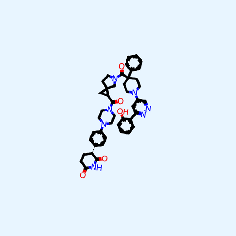 O=C1CC[C@H](c2ccc(N3CCN(C(=O)C4CC45CCN(C(=O)C4(c6ccccc6)CCN(c6cnnc(-c7ccccc7O)c6)CC4)C5)CC3)cc2)C(=O)N1